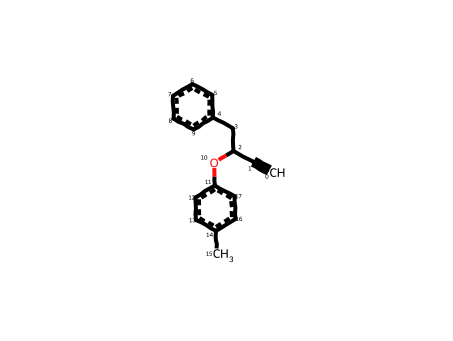 C#CC(Cc1ccccc1)Oc1ccc(C)cc1